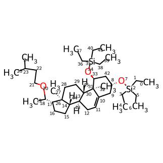 CC[Si](CC)(CC)O[C@@H]1CC2=CC[C@H]3[C@@H]4CC[C@H](C(C)OCCC(C)C)[C@@]4(C)CC[C@@H]3[C@@]2(C)[C@@H](O[Si](CC)(CC)CC)C1